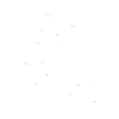 CC(C)Cn1c(=O)n(C)c(=O)c2[nH]cnc21.Cn1c(=O)c2[nH]cnc2n(C)c1=O.Cn1c(=O)c2[nH]cnc2n(C)c1=O.NCCN